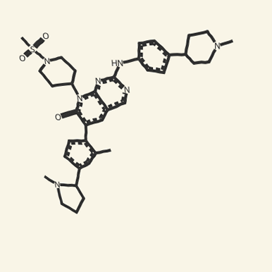 Cc1cc(C2CCCN2C)ccc1-c1cc2cnc(Nc3ccc(C4CCN(C)CC4)cc3)nc2n(C2CCN(S(C)(=O)=O)CC2)c1=O